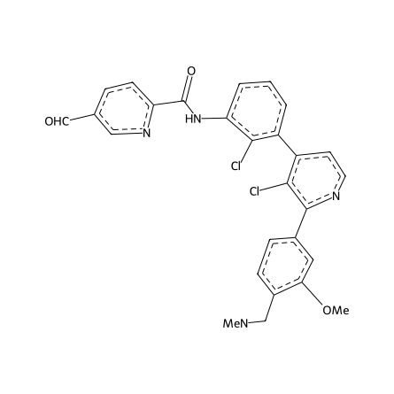 CNCc1ccc(-c2nccc(-c3cccc(NC(=O)c4ccc(C=O)cn4)c3Cl)c2Cl)cc1OC